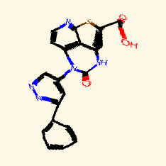 O=C(O)c1sc2nccc3c2c1NC(=O)N3c1cnnc(-c2ccccc2)c1